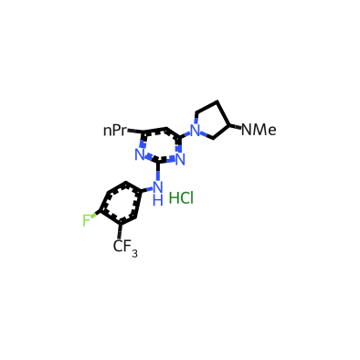 CCCc1cc(N2CCC(NC)C2)nc(Nc2ccc(F)c(C(F)(F)F)c2)n1.Cl